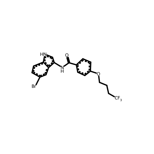 O=C(Nc1c[nH]c2ccc(Br)cc12)c1ccc(OCCCC(F)(F)F)cc1